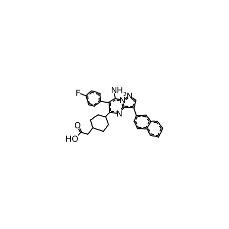 Nc1c(-c2ccc(F)cc2)c(C2CCC(CC(=O)O)CC2)nc2c(-c3ccc4ccccc4c3)cnn12